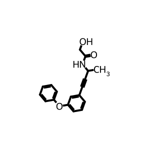 CC(C#Cc1cccc(Oc2ccccc2)c1)NC(=O)CO